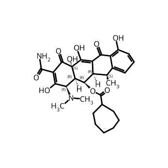 C[C@@H]1c2cccc(O)c2C(=O)C2=C(O)[C@]3(O)C(=O)C(C(N)=O)=C(O)[C@H](N(C)C)[C@@H]3[C@H](OC(=O)C3CCCCCC3)[C@@H]21